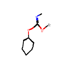 CCOC(=NC)OC1CCCCC1